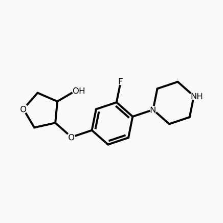 OC1COCC1Oc1ccc(N2CCNCC2)c(F)c1